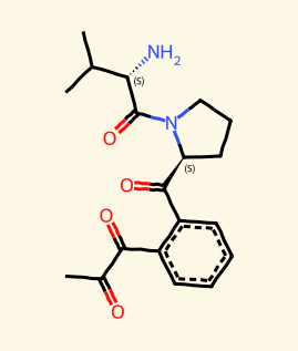 CC(=O)C(=O)c1ccccc1C(=O)[C@@H]1CCCN1C(=O)[C@@H](N)C(C)C